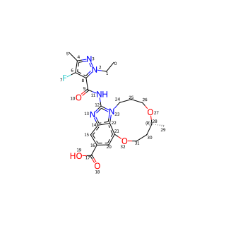 CCn1nc(C)c(F)c1C(=O)Nc1nc2cc(C(=O)O)cc3c2n1CCCO[C@H](C)CCO3